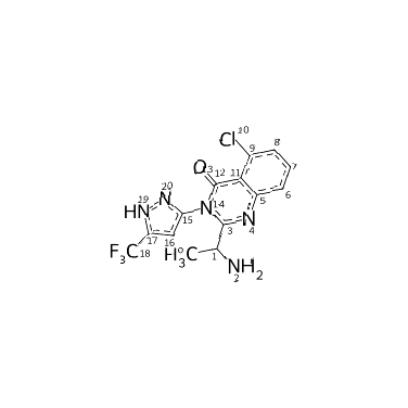 CC(N)c1nc2cccc(Cl)c2c(=O)n1-c1cc(C(F)(F)F)[nH]n1